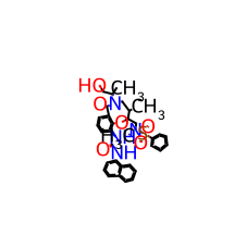 CC1CN(C(C)CO)C(=O)c2cccc(NC(=O)Nc3cccc4ccccc34)c2OC1CN(C)S(=O)(=O)c1ccccc1